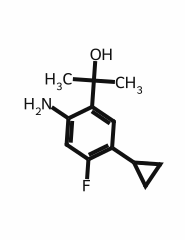 CC(C)(O)c1cc(C2CC2)c(F)cc1N